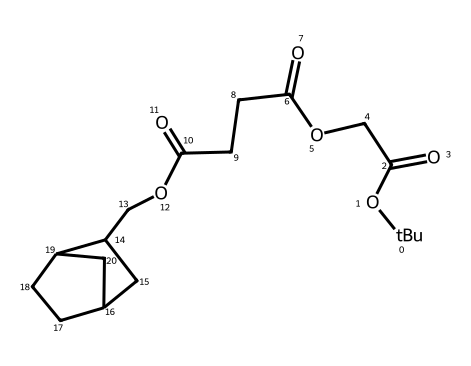 CC(C)(C)OC(=O)COC(=O)CCC(=O)OCC1CC2CCC1C2